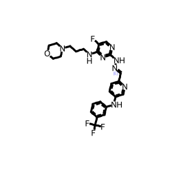 Fc1cnc(N/N=C/c2ccc(Nc3cccc(C(F)(F)F)c3)cn2)nc1NCCCN1CCOCC1